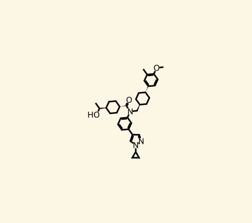 COc1ccc([C@H]2CC[C@H](CN(c3cccc(-c4cnn(C5CC5)c4)c3)C(=O)[C@H]3CC[C@H](C(C)O)CC3)CC2)cc1C